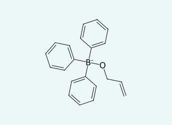 C=CCO[B-](c1ccccc1)(c1ccccc1)c1ccccc1